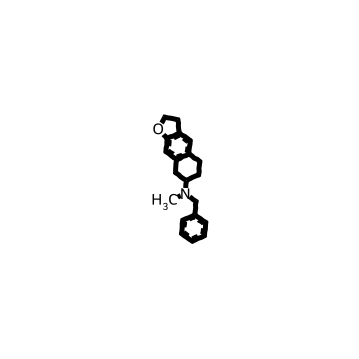 CN(Cc1ccccc1)C1CCc2cc3c(cc2C1)OCC3